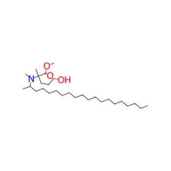 CCCCCCCCCCCCCCCCCCC(C)N(C)C(C)(CCCO)C(=O)OC